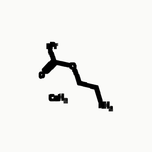 CCCC(=O)OCCN.[CaH2]